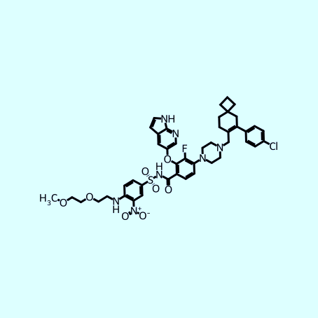 COCCOCCNc1ccc(S(=O)(=O)NC(=O)c2ccc(N3CCN(CC4=C(c5ccc(Cl)cc5)CC5(CCC5)CC4)CC3)c(F)c2Oc2cnc3[nH]ccc3c2)cc1[N+](=O)[O-]